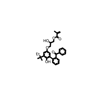 C=C(C)C(=O)OCC(O)COc1cc(-c2ccccc2C(=O)c2ccccc2)c(O)c(C(C)(C)CC)c1